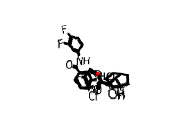 O=C(Nc1ccc(F)c(F)c1)c1ccc(Cl)c(S(=O)(=O)[C@@H]2CC3CC[C@@H](C2)[C@@]3(O)[C@H](O)c2ccc(F)cn2)c1